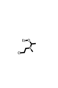 CCOC(C)N(C)CCCl